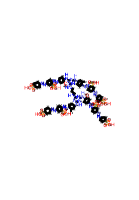 COc1cc(N=Nc2ccc(N=Nc3ccc(S(=O)(=O)O)cc3)cc2S(=O)(=O)O)ccc1Nc1nc(NCCCNc2nc(Nc3ccc(N=Nc4ccc(N=Nc5ccc(S(=O)(=O)O)cc5)cc4S(=O)(=O)O)c(C)c3)nc(Nc3ccc(N=Nc4ccc(N=Nc5ccc(S(=O)(=O)O)cc5)cc4S(=O)(=O)O)cc3OC)n2)nc(Nc2ccc(N=Nc3ccc(N=Nc4ccc(S(=O)(=O)O)cc4)cc3S(=O)O)c(C)c2)n1